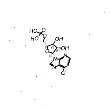 O=P(O)(O)OC[C@H]1O[C@@H](n2cnc3c(Cl)ccnc32)[C@H](O)[C@@H]1O